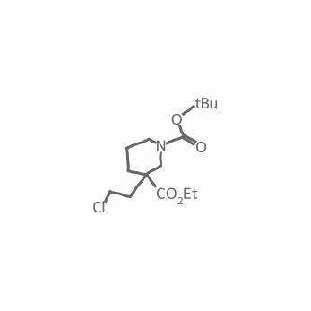 CCOC(=O)C1(CCCl)CCCN(C(=O)OC(C)(C)C)C1